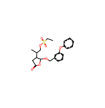 CCS(=O)(=O)OCC(C)C1CC(=O)OC1OCc1cccc(Oc2ccccc2)c1